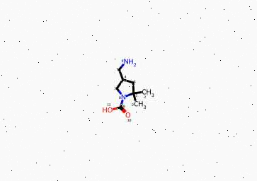 CC1(C)CC(CN)CN1C(=O)O